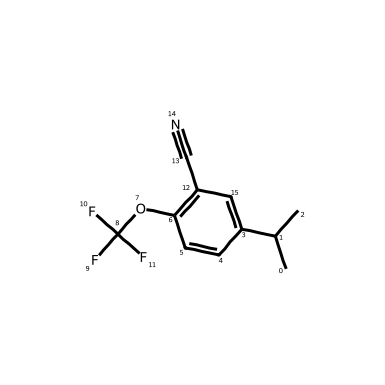 CC(C)c1ccc(OC(F)(F)F)c(C#N)c1